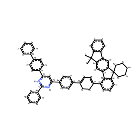 CC1(C)c2ccccc2-c2cc3c(cc21)-c1c(C2=CC=C(c4ccc(-c5cc(-c6ccc(-c7ccccc7)cc6)nc(-c6ccccc6)n5)cc4)CC2)cccc1C31CCCCC1